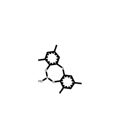 Cc1cc(C)c2c(c1)Sc1cc(C)cc(C)c1OP(O)O2